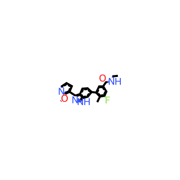 CCNC(=O)c1cc(F)c(C)c(-c2ccc3c(-c4cccnc4OC)n[nH]c3c2)c1